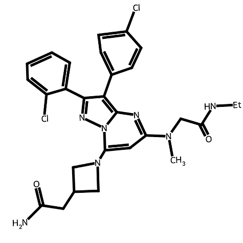 CCNC(=O)CN(C)c1cc(N2CC(CC(N)=O)C2)n2nc(-c3ccccc3Cl)c(-c3ccc(Cl)cc3)c2n1